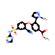 COC(=O)c1ccc(Oc2ccc(S(=O)(=O)Nc3ncns3)cc2C#N)c(-c2ccnn2C)c1